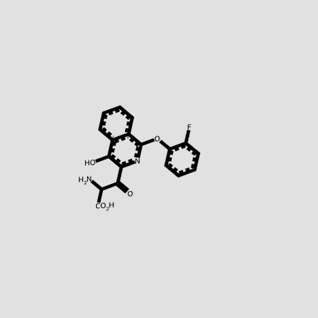 NC(C(=O)O)C(=O)c1nc(Oc2ccccc2F)c2ccccc2c1O